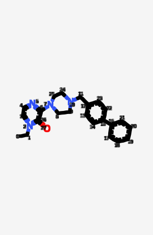 CCn1ccnc(N2CCN(Cc3ccc(-c4ccccc4)cc3)CC2)c1=O